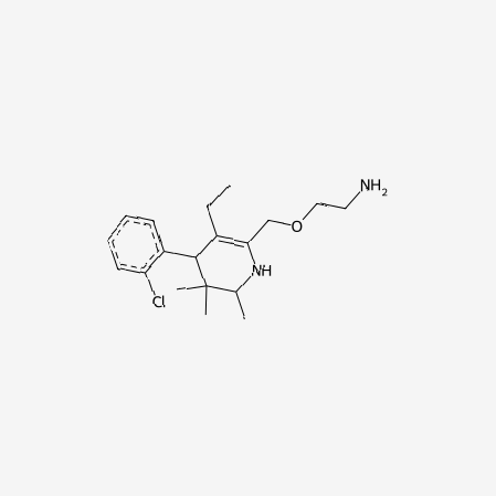 CCC1=C(COCCN)NC(C)C(C)(C)C1c1ccccc1Cl